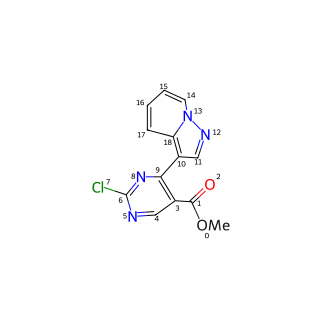 COC(=O)c1cnc(Cl)nc1-c1cnn2ccccc12